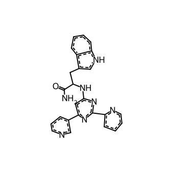 NC(=O)C(Cc1c[nH]c2ccccc12)Nc1cc(-c2cccnc2)nc(-c2ccccn2)n1